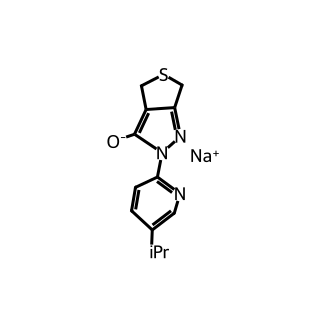 CC(C)c1ccc(-n2nc3c(c2[O-])CSC3)nc1.[Na+]